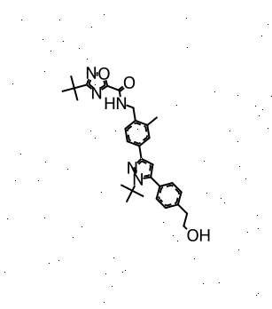 Cc1cc(-c2cc(-c3ccc(CCO)cc3)n(C(C)(C)C)n2)ccc1CNC(=O)c1nc(C(C)(C)C)no1